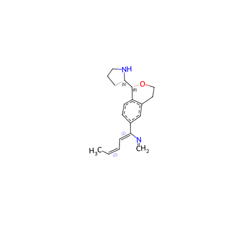 C=N/C(=C\C=C/C)c1ccc2c(c1)CCO[C@H]2[C@@H]1CCCN1